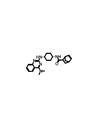 CN(C)c1nc(N[C@H]2CC[C@@H](NC(=O)C3CC4C=CC3C4)CC2)nc2ccccc12